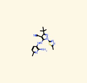 Cc1ccc(/N=N/c2c(C#N)c(C(C)(C)C)nn2-c2nnc(C)s2)c(N)n1